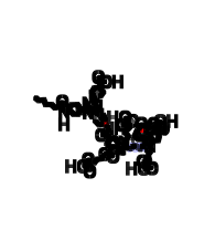 CCCCCCC(=O)NC1CCN(c2nc(N3CCC(NC(=O)c4cc(C(=O)OCCCS(=O)(=O)O)c5c(c4)[N+](CCCS(=O)(=O)O)=C(/C=C/C=C4/N(CCCS(=O)(=O)O)c6ccc(S(=O)(=O)O)cc6C4(C)CCCS(=O)(=O)O)C5(C)C)CC3)nc(N3CCC(C(=O)O)CC3)n2)CC1